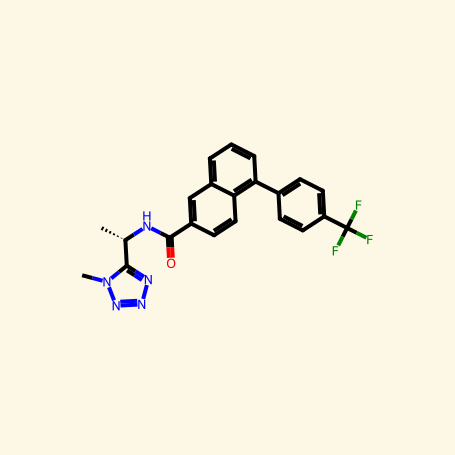 C[C@H](NC(=O)c1ccc2c(-c3ccc(C(F)(F)F)cc3)cccc2c1)c1nnnn1C